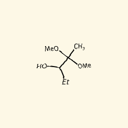 CCC(O)C(C)(OC)OC